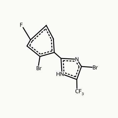 Fc1ccc(-c2nc(Br)c(C(F)(F)F)[nH]2)c(Br)c1